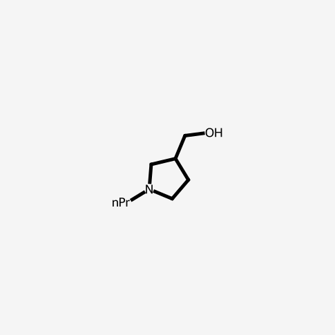 [CH2]CCN1CCC(CO)C1